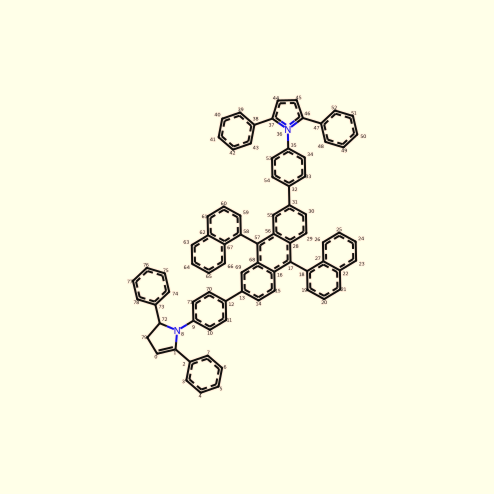 C1=C(c2ccccc2)N(c2ccc(-c3ccc4c(-c5cccc6ccccc56)c5ccc(-c6ccc(-n7c(-c8ccccc8)ccc7-c7ccccc7)cc6)cc5c(-c5cccc6ccccc56)c4c3)cc2)C(c2ccccc2)C1